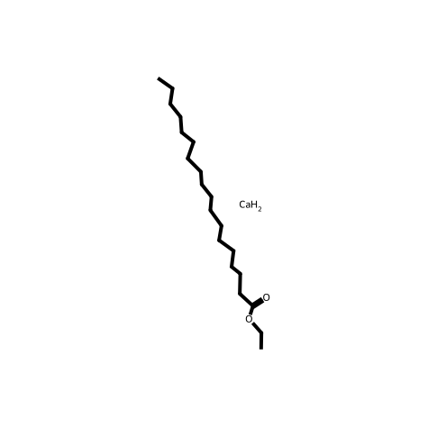 CCCCCCCCCCCCCCCCCC(=O)OCC.[CaH2]